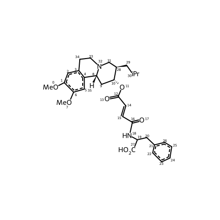 COc1cc2c(cc1OC)[C@H]1C[C@@H](OC(=O)/C=C/C(=O)NC(Cc3ccccc3)C(=O)O)[C@H](CC(C)C)CN1CC2